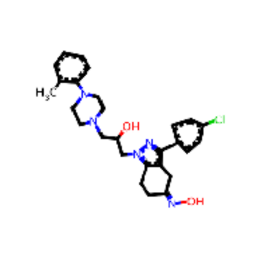 Cc1ccccc1N1CCN(CC(O)Cn2nc(-c3ccc(Cl)cc3)c3c2CC/C(=N/O)C3)CC1